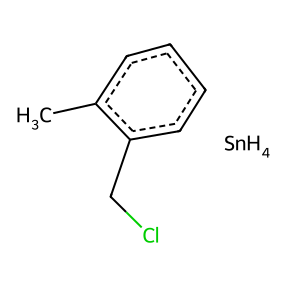 Cc1ccccc1CCl.[SnH4]